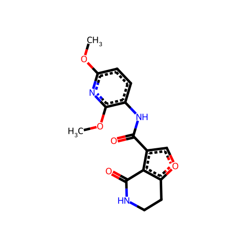 COc1ccc(NC(=O)c2coc3c2C(=O)NCC3)c(OC)n1